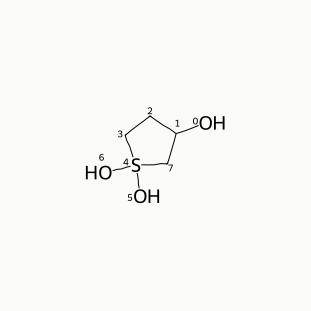 OC1CCS(O)(O)C1